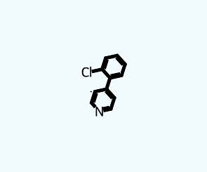 Clc1ccccc1-c1[c]cncc1